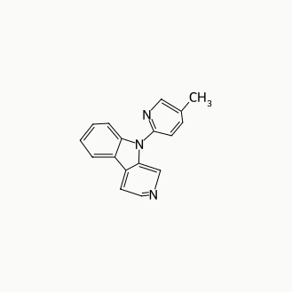 Cc1ccc(-n2c3ccccc3c3ccncc32)nc1